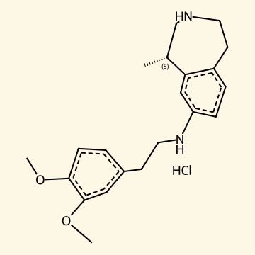 COc1ccc(CCNc2ccc3c(c2)[C@H](C)CNCC3)cc1OC.Cl